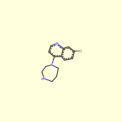 Clc1ccc2c(N3CCCNCC3)ccnc2c1